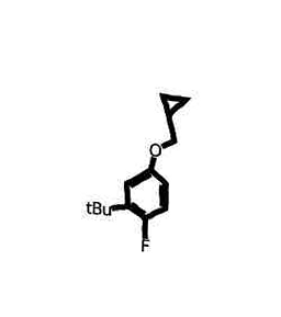 CC(C)(C)c1cc(OCC2CC2)ccc1F